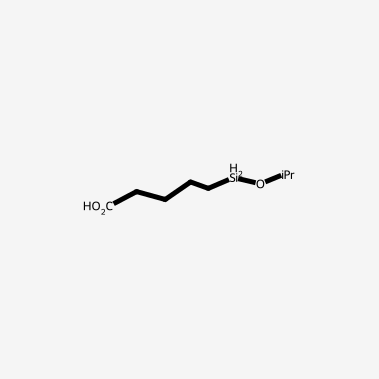 CC(C)O[SiH2]CCCCC(=O)O